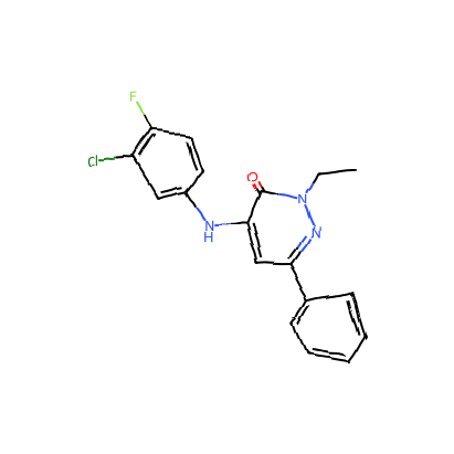 CCn1nc(-c2ccccc2)cc(Nc2ccc(F)c(Cl)c2)c1=O